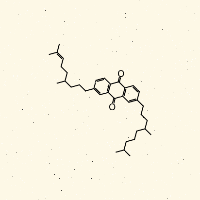 CC(C)=CCCC(C)CCCc1ccc2c(c1)C(=O)c1cc(CCCC(C)CCCC(C)C)ccc1C2=O